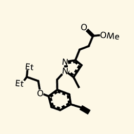 C#Cc1ccc(OCC(CC)CC)c(Cn2nc(CCC(=O)OC)cc2C)c1